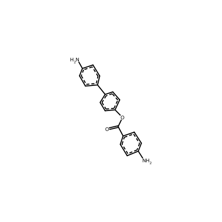 Nc1ccc(C(=O)Oc2ccc(-c3ccc(N)cc3)cc2)cc1